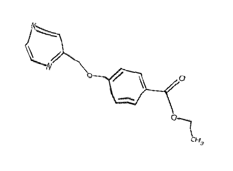 CCOC(=O)c1ccc(OCc2cnccn2)cc1